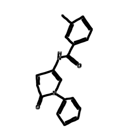 Cc1cccc(C(=O)Nc2ccc(=O)n(-c3ccccc3)c2)c1